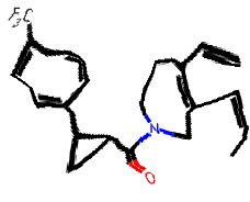 C=CC1=C(/C=C\C)CN(C(=O)C2CC2c2ccc(C(F)(F)F)cc2)CC1